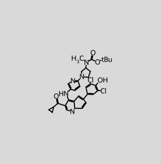 CN(C(=O)OC(C)(C)C)C1CCN(c2ccc(Nc3c(C(=O)C4CC4)cnc4ccc(-c5cc(Cl)c(O)c(Cl)c5)cc34)cn2)C1